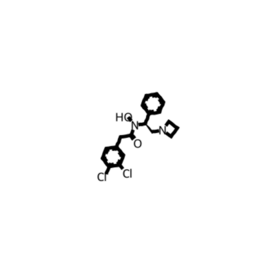 O=C(Cc1ccc(Cl)c(Cl)c1)N(O)[C@H](CN1CCC1)c1ccccc1